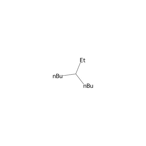 [CH2]CCCC(CC)CCC[CH2]